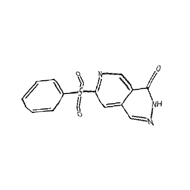 O=c1[nH]ncc2cc(S(=O)(=O)c3ccccc3)ncc12